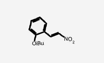 CC(C)COc1ccccc1C=C[N+](=O)[O-]